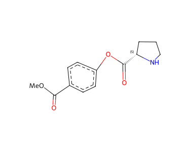 COC(=O)c1ccc(OC(=O)[C@@H]2CCCN2)cc1